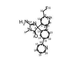 CN1C(=O)C(c2ccnc(CF)c2)(c2cc(-c3ccccn3)ccc2F)N=C1N